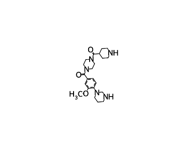 COc1cc(C(=O)N2CCN(C(=O)C3CCNCC3)CC2)ccc1N1CCCNC1